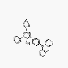 N#Cc1c(-c2ccccc2)nc(-c2ccccc2)nc1-c1ccc(N2c3ccccc3Cc3ccccc32)cc1